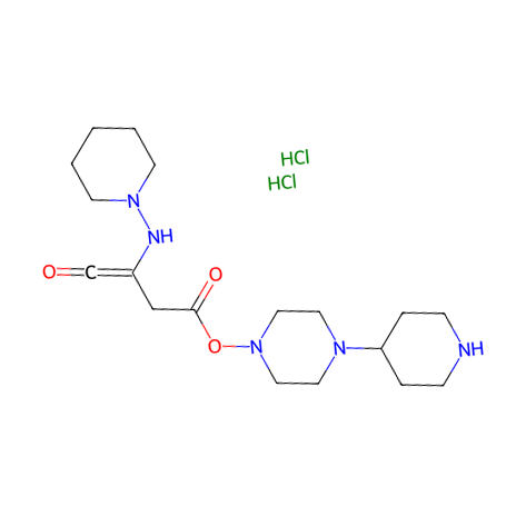 Cl.Cl.O=C=C(CC(=O)ON1CCN(C2CCNCC2)CC1)NN1CCCCC1